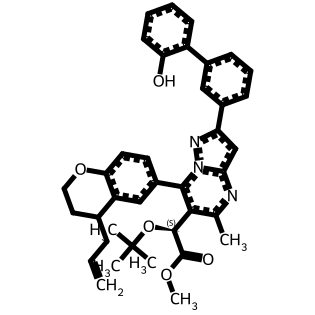 C=CCC1CCOc2ccc(-c3c([C@H](OC(C)(C)C)C(=O)OC)c(C)nc4cc(-c5cccc(-c6ccccc6O)c5)nn34)cc21